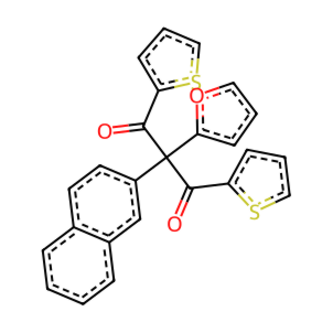 O=C(c1cccs1)C(C(=O)c1cccs1)(c1ccc2ccccc2c1)c1ccco1